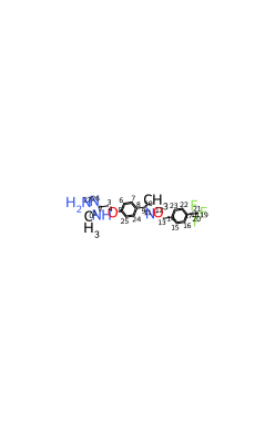 CN/C(COc1ccc(/C(C)=N/OCc2ccc(C(F)(F)F)cc2)cc1)=N\N